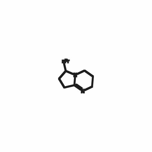 CCCC1CCC2=NCCCN21